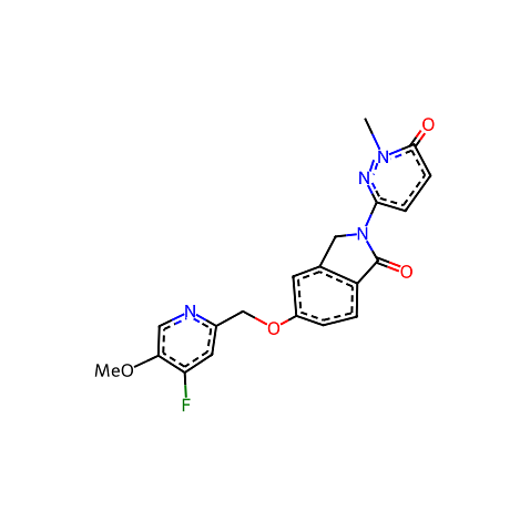 COc1cnc(COc2ccc3c(c2)CN(c2ccc(=O)n(C)n2)C3=O)cc1F